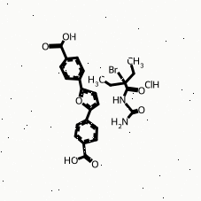 CCC(Br)(CC)C(=O)NC(N)=O.Cl.O=C(O)c1ccc(-c2ccc(-c3ccc(C(=O)O)cc3)o2)cc1